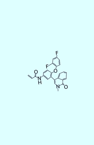 C=CC(=O)Nc1ccc(Oc2ccc(F)cc2F)c(-c2cn(C)c(=O)c3ccccc23)c1